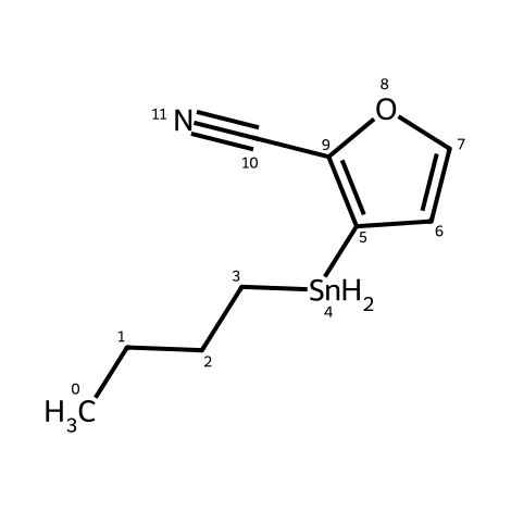 CCC[CH2][SnH2][c]1ccoc1C#N